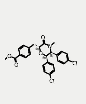 COC(=O)c1ccc(C[C@H]2O[C@H](c3ccc(Cl)cc3)[C@H](c3ccc(Cl)cc3)N(C)C2=O)cc1